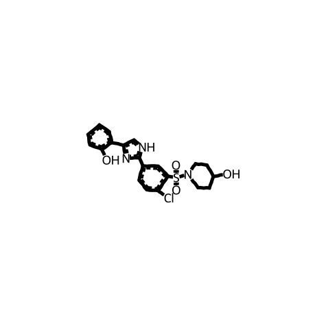 O=S(=O)(c1cc(-c2nc(-c3ccccc3O)c[nH]2)ccc1Cl)N1CCC(O)CC1